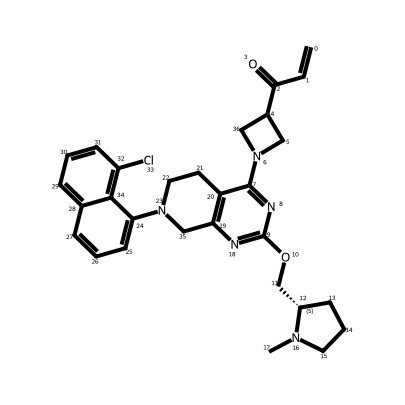 C=CC(=O)C1CN(c2nc(OC[C@@H]3CCCN3C)nc3c2CCN(c2cccc4cccc(Cl)c24)C3)C1